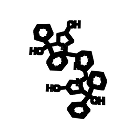 OC1CC(C(O)(c2ccccc2)c2ccccc2)N(Cc2cccc(CN3CC(O)CC3C(O)(c3ccccc3)c3ccccc3)n2)C1